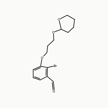 O=Cc1cccc(OCCCOC2CCCCO2)c1Br